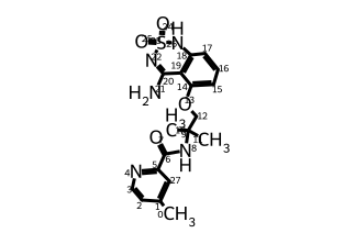 Cc1ccnc(C(=O)NC(C)(C)COc2cccc3c2C(N)=NS(=O)(=O)N3)c1